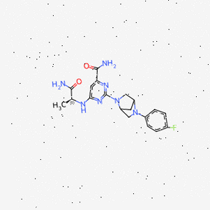 C[C@H](Nc1cc(C(N)=O)nc(N2CC3CC2CN3c2ccc(F)cc2)n1)C(N)=O